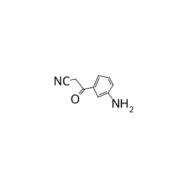 N#CCC(=O)c1cccc(N)c1